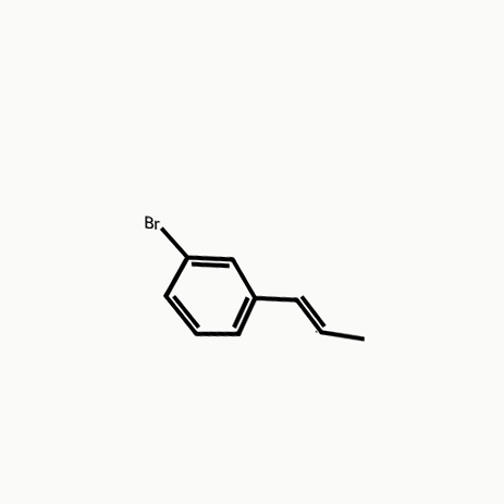 C[C]=Cc1cccc(Br)c1